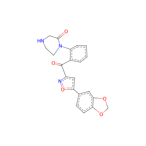 O=C(c1cc(-c2ccc3c(c2)OCO3)on1)c1ccccc1N1CCNCC1=O